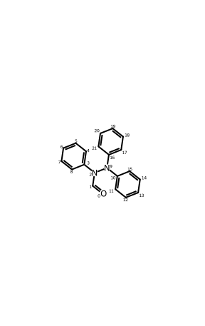 O=CN(c1ccccc1)N(c1ccccc1)c1ccccc1